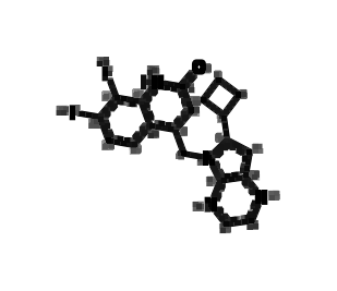 O=c1cc(Cn2c(C3CCC3)cc3nccnc32)c2ccc(F)c(F)c2[nH]1